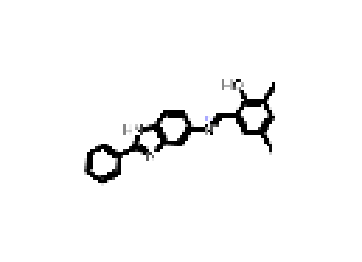 Oc1c(I)cc(I)cc1/C=N/c1ccc2[nH]c(-c3ccccc3)nc2c1